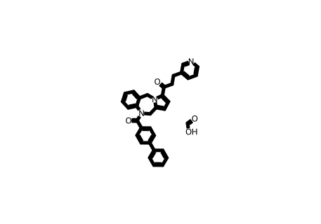 O=C(CCc1cccnc1)c1ccc2n1Cc1ccccc1N(C(=O)c1ccc(-c3ccccc3)cc1)C2.O=CO